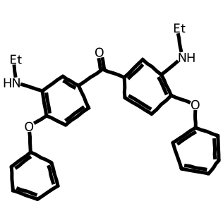 CCNc1cc(C(=O)c2ccc(Oc3ccccc3)c(NCC)c2)ccc1Oc1ccccc1